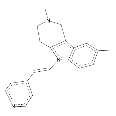 Cc1ccc2c(c1)c1c(n2C=Cc2ccncc2)CCN(C)C1